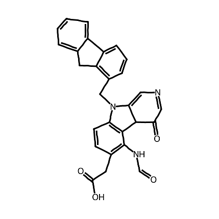 O=CNc1c(CC(=O)O)ccc2c1C1C(=O)C=NC=C1N2Cc1cccc2c1Cc1ccccc1-2